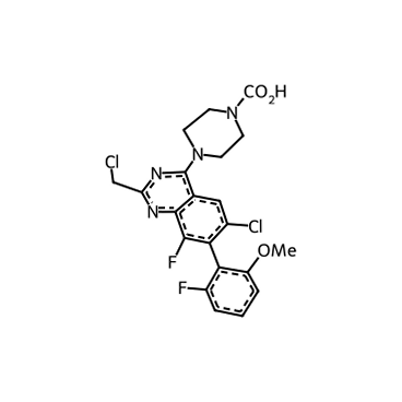 COc1cccc(F)c1-c1c(Cl)cc2c(N3CCN(C(=O)O)CC3)nc(CCl)nc2c1F